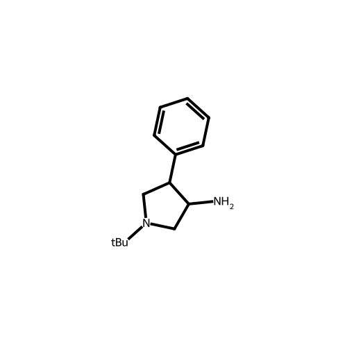 CC(C)(C)N1CC(N)C(c2ccccc2)C1